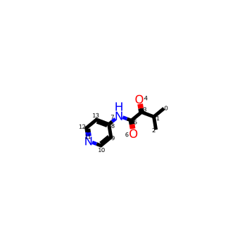 CC(C)C(=O)C(=O)Nc1ccncc1